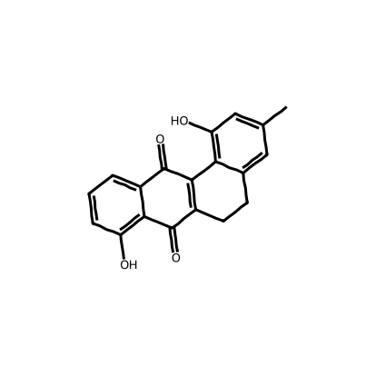 Cc1cc(O)c2c(c1)CCC1=C2C(=O)c2cccc(O)c2C1=O